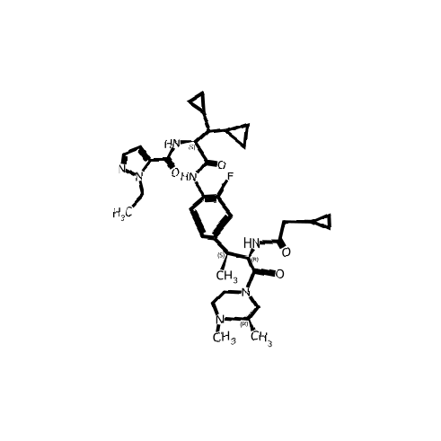 CCn1nccc1C(=O)N[C@H](C(=O)Nc1ccc([C@H](C)[C@@H](NC(=O)CC2CC2)C(=O)N2CCN(C)[C@H](C)C2)cc1F)C(C1CC1)C1CC1